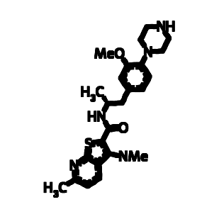 CNc1c(C(=O)N[C@@H](C)Cc2ccc(N3CCNCC3)c(OC)c2)sc2nc(C)ccc12